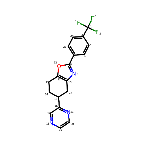 FC(F)(F)c1ccc(-c2nc3c(o2)CCC(c2cnccn2)C3)cc1